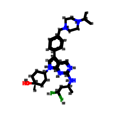 CC(C)N1CCN(Cc2ccc(-c3cn([C@H]4CC[C@](C)(O)CC4)c4nc(N[C@@H](C)CC(F)F)ncc34)cc2)CC1